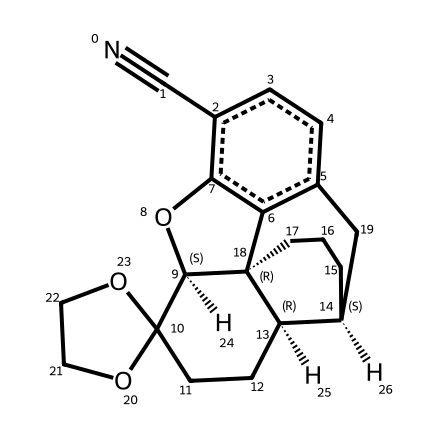 N#Cc1ccc2c3c1O[C@@H]1C4(CC[C@@H]5[C@@H](CCC[C@]351)C2)OCCO4